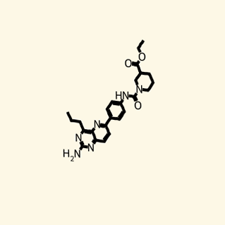 CCCc1nc(N)nc2ccc(-c3ccc(NC(=O)N4CCCC(C(=O)OCC)C4)cc3)nc12